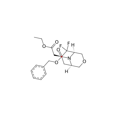 CCOC(=O)C[C@@H]1C[C@@H]2COC[C@@H](N2C(=O)OCc2ccccc2)C1(F)F